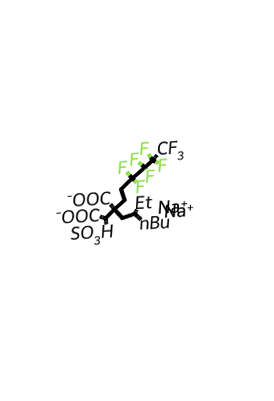 CCCCC(CC)CC(CCC(F)(F)C(F)(F)C(F)(F)C(F)(F)F)(C(=O)[O-])C(C(=O)[O-])S(=O)(=O)O.[Na+].[Na+]